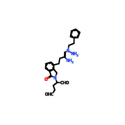 N/C(=C\N(N)CCc1ccccc1)CCc1cccc2c1CN(C(C=O)CCC=O)C2=O